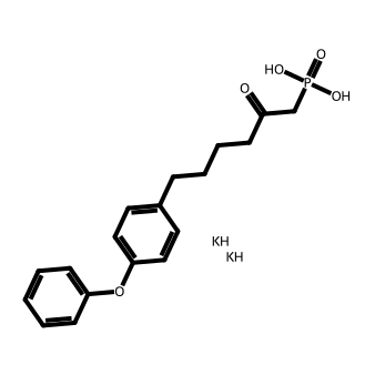 O=C(CCCCc1ccc(Oc2ccccc2)cc1)CP(=O)(O)O.[KH].[KH]